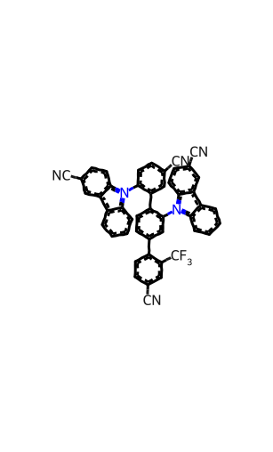 N#Cc1ccc(-n2c3ccccc3c3cc(C#N)ccc32)c(-c2ccc(-c3ccc(C#N)cc3C(F)(F)F)cc2-n2c3ccccc3c3cc(C#N)ccc32)c1